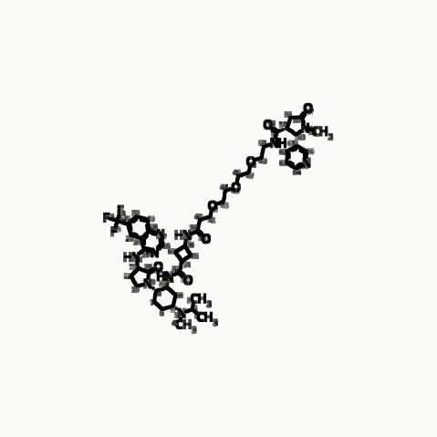 CC(C)N(C)[C@@H]1CC[C@H](N2CC[C@@H](Nc3ncnc4ccc(C(F)(F)F)cc34)C2=O)[C@H](NC(=O)C2CC(NC(=O)CCOCCOCCOCCNC(=O)[C@H]3CC(=O)N(C)[C@@H]3c3cccnc3)C2)C1